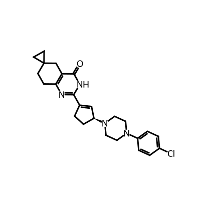 O=c1[nH]c(C2=C[C@@H](N3CCN(c4ccc(Cl)cc4)CC3)CC2)nc2c1CC1(CC2)CC1